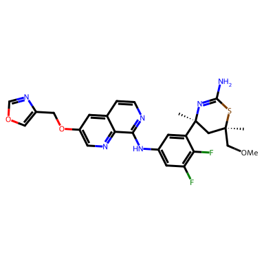 COC[C@@]1(C)C[C@@](C)(c2cc(Nc3nccc4cc(OCc5cocn5)cnc34)cc(F)c2F)N=C(N)S1